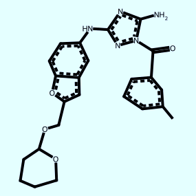 Cc1cccc(C(=O)n2nc(Nc3ccc4oc(COC5CCCCO5)cc4c3)nc2N)c1